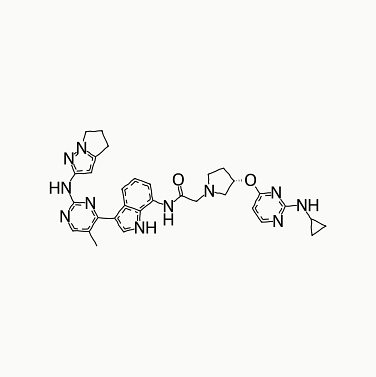 Cc1cnc(Nc2cc3n(n2)CCC3)nc1-c1c[nH]c2c(NC(=O)CN3CC[C@H](Oc4ccnc(NC5CC5)n4)C3)cccc12